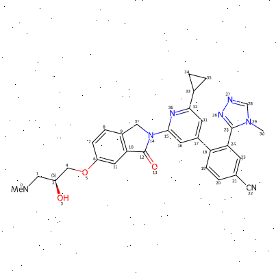 CNC[C@H](O)COc1ccc2c(c1)C(=O)N(c1cc(-c3ccc(C#N)cc3-c3nncn3C)cc(C3CC3)n1)C2